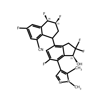 Cc1c(-c2c(F)cc(C3C[C@H](F)[C@H](F)c4cc(F)cc(C#N)c43)c3c2[C@H](O)C(F)(F)C3)cnn1C